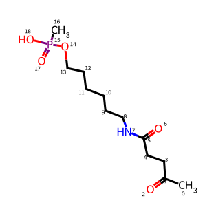 CC(=O)CCC(=O)NCCCCCCOP(C)(=O)O